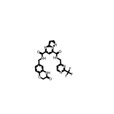 O=C1COc2ccc(CNC(=O)c3cc(C(=O)NCc4ccnc(C(F)(F)F)n4)n4nccc4n3)cc2N1